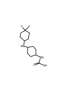 O=C(O)NC1CCC(NC2CCC(F)(F)CC2)CC1